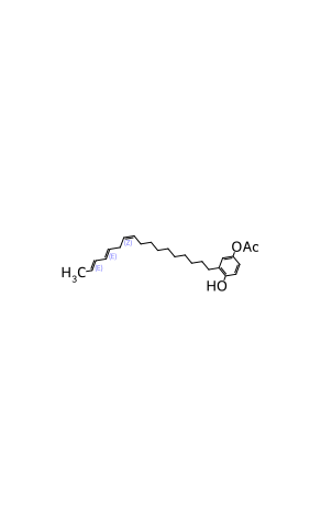 C/C=C/C=C/C/C=C\CCCCCCCCCc1cc(OC(C)=O)ccc1O